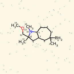 BC1(C)CCCC2C(C1)CC(C)(COC)N2C